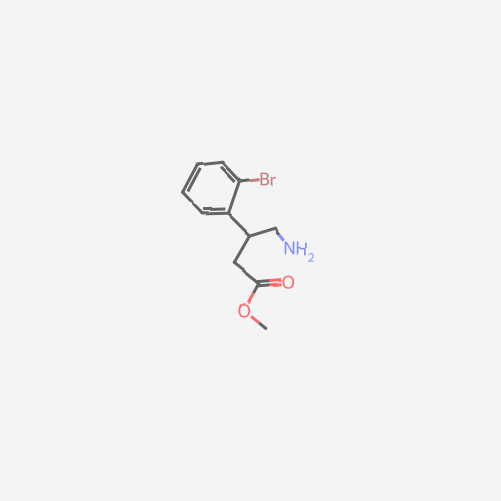 COC(=O)CC(CN)c1ccccc1Br